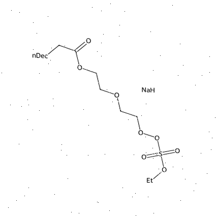 CCCCCCCCCCCC(=O)OCCOCCOOS(=O)(=O)OCC.[NaH]